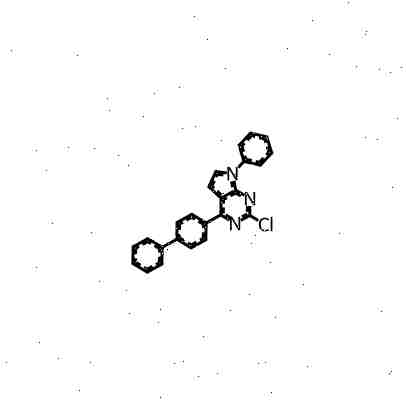 Clc1nc(-c2ccc(-c3ccccc3)cc2)c2ccn(-c3ccccc3)c2n1